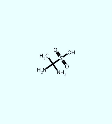 CC(N)(N)S(=O)(=O)O